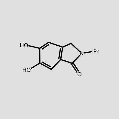 CC(C)N1Cc2cc(O)c(O)cc2C1=O